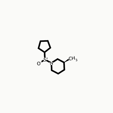 C[C@H]1CCCN([S+]([O-])C2CCCC2)C1